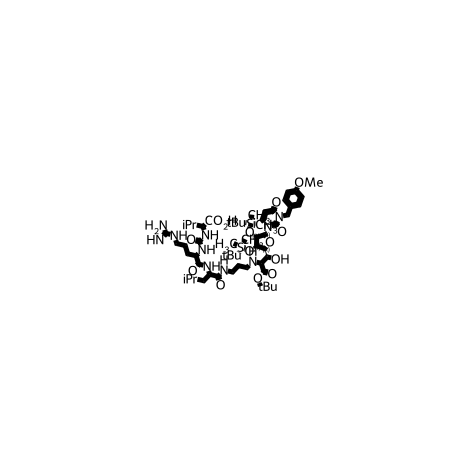 COc1ccc(Cn2c(=O)ccn([C@@H]3O[C@H](C(O)C(NCCCNC(=O)C(CC(C)C)NC(=O)C(CCCNC(=N)N)NC(=O)NC(C(=O)O)C(C)C)C(=O)OC(C)(C)C)[C@@H](O[Si](C)(C)C(C)(C)C)[C@H]3O[Si](C)(C)C(C)(C)C)c2=O)cc1